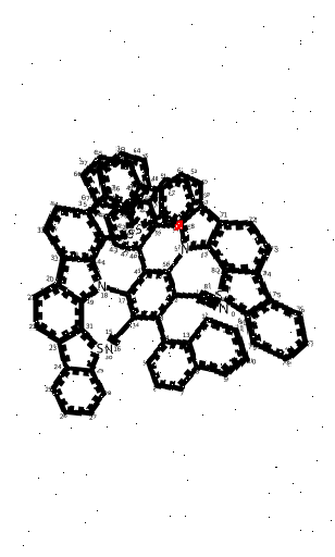 N#Cc1c(-c2cccc3ccccc23)c(C#N)c(-n2c3c(ccc4c5ccccc5sc43)c3ccc4c5ccccc5sc4c32)c(-c2cccc3ccccc23)c1-n1c2c(ccc3c4ccccc4sc32)c2ccc3c4ccccc4sc3c21